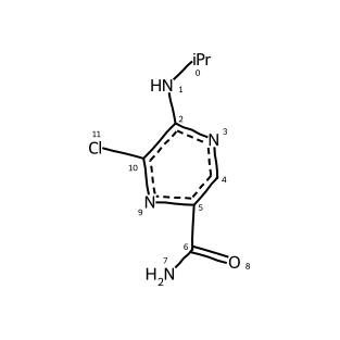 CC(C)Nc1ncc(C(N)=O)nc1Cl